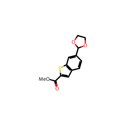 COC(=O)c1cc2ccc(C3OCCO3)cc2s1